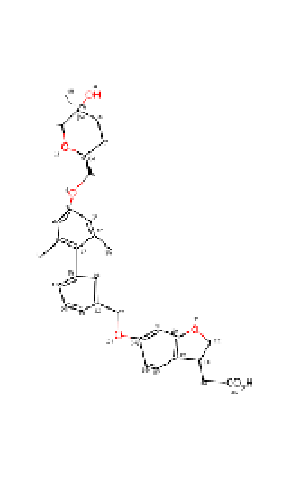 Cc1cc(OC[C@@H]2CC[C@](C)(O)CO2)cc(C)c1-c1cccc(COc2ccc3c(c2)OCC3CC(=O)O)c1